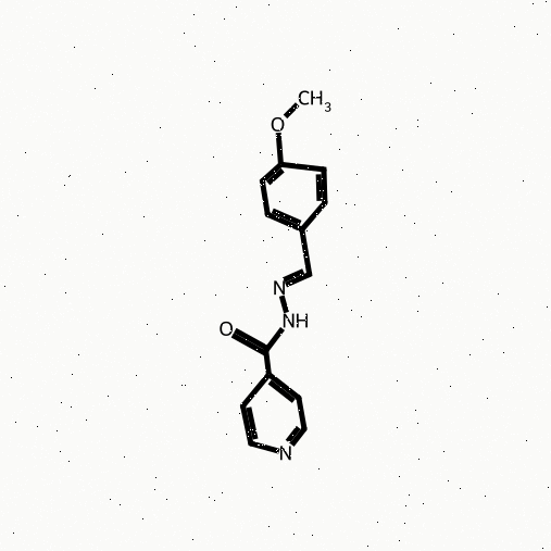 COc1ccc(/C=N/NC(=O)c2ccncc2)cc1